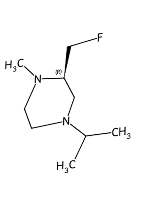 CC(C)N1CCN(C)[C@@H](CF)C1